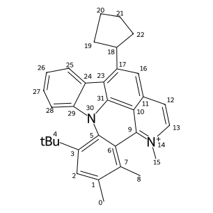 Cc1cc(C(C)(C)C)c2c(c1C)c1c3c(cc[n+]1C)cc(C1CCCC1)c1c4ccccc4n2c13